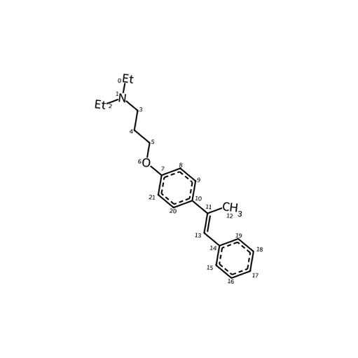 CCN(CC)CCCOc1ccc(/C(C)=C/c2ccccc2)cc1